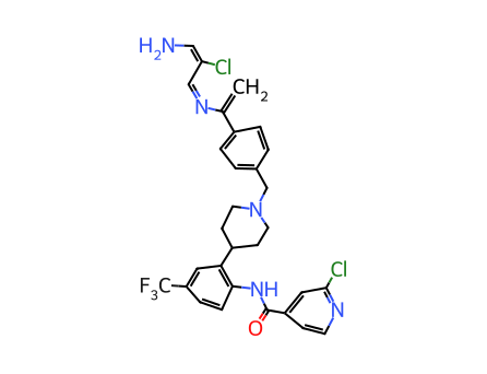 C=C(/N=C\C(Cl)=C/N)c1ccc(CN2CCC(c3cc(C(F)(F)F)ccc3NC(=O)c3ccnc(Cl)c3)CC2)cc1